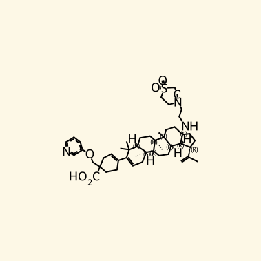 C=C(C)[C@@H]1CC[C@]2(NCCN3CCS(=O)(=O)CC3)CC[C@]3(C)[C@H](CC[C@@H]4[C@@]5(C)CC=C(C6=CCC(COc7cccnc7)(C(=O)O)CC6)C(C)(C)[C@@H]5CC[C@]43C)[C@@H]12